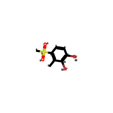 Cc1c(S(C)(=O)=O)ccc(Br)c1Br